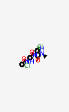 COC1CC(NC2CC2)c2cc(Cl)ccc2N(C(=O)c2ccc(NC(=O)c3ccccc3Cl)cc2)C1